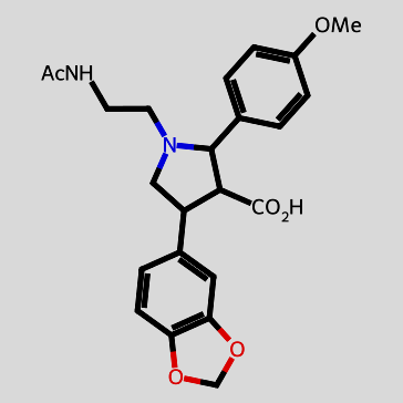 COc1ccc(C2C(C(=O)O)C(c3ccc4c(c3)OCO4)CN2CCNC(C)=O)cc1